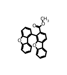 COC(=O)c1ccc2c(oc3ccccc32)c1-c1cccc2oc3ccccc3c12